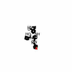 CC1(C)CNC(=O)c2ccc(Nc3cc(N[C@H](CO)c4ccccc4)c(-c4nc(C56CCN(CC5)CC6)no4)cn3)cc21